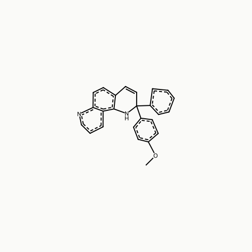 COc1ccc(C2(c3ccccc3)C=Cc3ccc4ncccc4c3N2)cc1